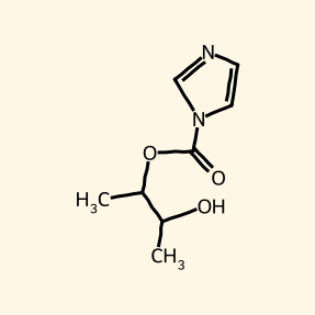 CC(O)C(C)OC(=O)n1ccnc1